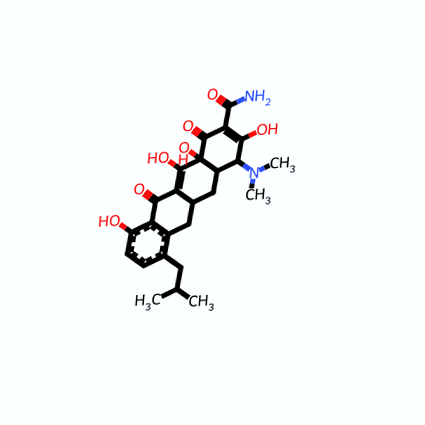 CC(C)Cc1ccc(O)c2c1CC1CC3C(N(C)C)C(O)=C(C(N)=O)C(=O)C3(O)C(O)=C1C2=O